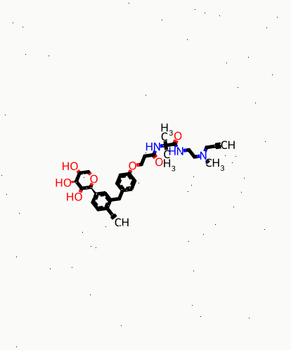 C#CCN(C)CCNC(=O)C(C)(C)NC(=O)CCOc1ccc(Cc2cc([C@@H]3OCC(O)[C@H](O)C3O)ccc2C#C)cc1